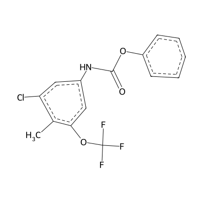 Cc1c(Cl)cc(NC(=O)Oc2ccccc2)cc1OC(F)(F)F